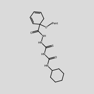 CCCC(C)OC1(C(=O)NNC(=S)NC(=O)NC2CCCCC2)C=CC=CC1